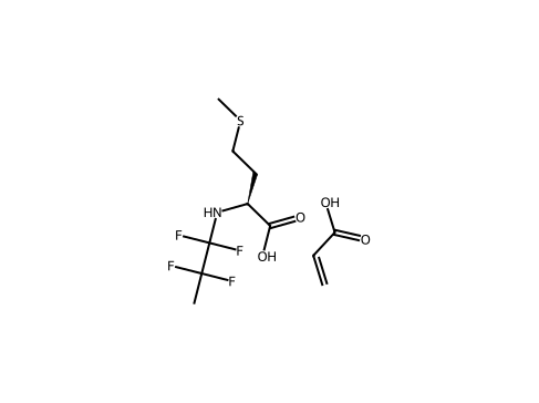 C=CC(=O)O.CSCC[C@H](NC(F)(F)C(C)(F)F)C(=O)O